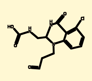 O=CCCN1c2cccc(Cl)c2C(=O)NC1CNC(=O)O